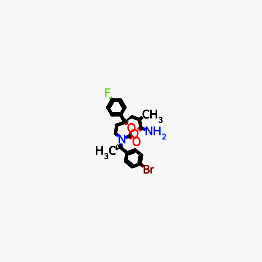 CC(C[C@]1(c2ccc(F)cc2)CCN([C@@H](C)c2ccc(Br)cc2)C(=O)O1)C(N)=O